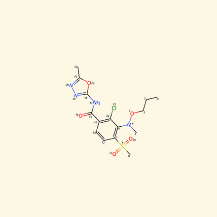 CCCON(C)c1c(S(C)(=O)=O)ccc(C(=O)Nc2nnc(C)o2)c1Cl